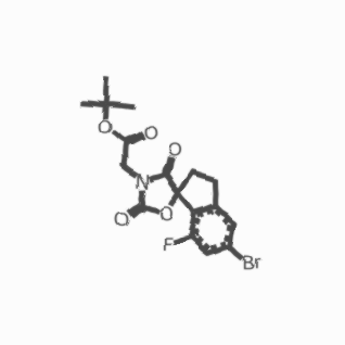 CC(C)(C)OC(=O)CN1C(=O)OC2(CCc3cc(Br)cc(F)c32)C1=O